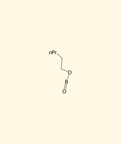 CCCCCOB=O